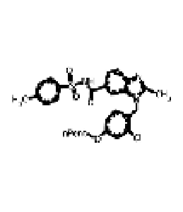 CCCCCOc1ccc(Cn2c(C)nc3ccc(C(=O)NS(=O)(=O)c4ccc(C)cc4)cc32)c(Cl)c1